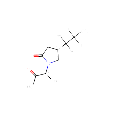 [2H]C([2H])(C)C([2H])([2H])[C@@H]1CC(=O)N([C@@H](C)C(C)=O)C1